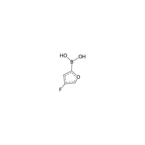 OB(O)c1cc(F)co1